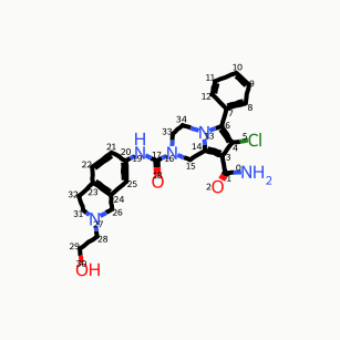 NC(=O)c1c(Cl)c(-c2ccccc2)n2c1CN(C(=O)Nc1ccc3c(c1)CN(CCO)CC3)CC2